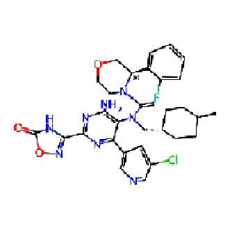 C=C(N(C[C@H]1CC[C@H](C)CC1)c1c(N)nc(-c2noc(=O)[nH]2)nc1-c1cncc(Cl)c1)N1CCOC[C@H]1c1ccccc1F